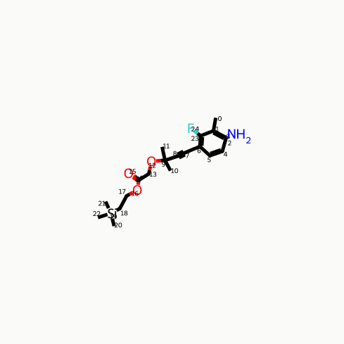 Cc1c(N)ccc(C#CC(C)(C)OCC(=O)OCC[Si](C)(C)C)c1F